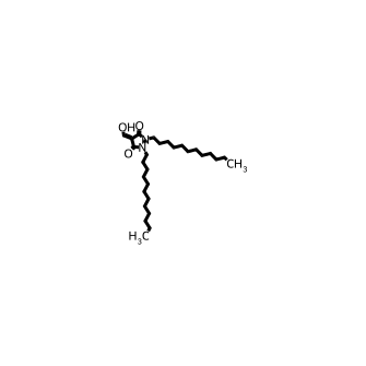 CCCCCCCCCCCCN1C(=O)C(=CO)C(=O)N1CCCCCCCCCCCC